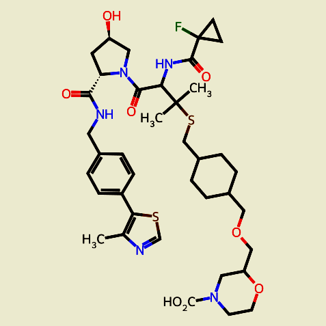 Cc1ncsc1-c1ccc(CNC(=O)[C@@H]2C[C@@H](O)CN2C(=O)C(NC(=O)C2(F)CC2)C(C)(C)SCC2CCC(COCC3CN(C(=O)O)CCO3)CC2)cc1